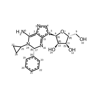 NC1=c2ncn([C@H]3O[C@H](CO)[C@@H](O)[C@H]3O)c2=N[C@H](c2ccccc2)N1C1CC1